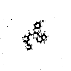 O=C(N[C@@H](Cc1ccc(O)cc1)C(=O)N1CCC[C@H]2OCC(=O)[C@H]21)c1cncc(-c2cccs2)c1